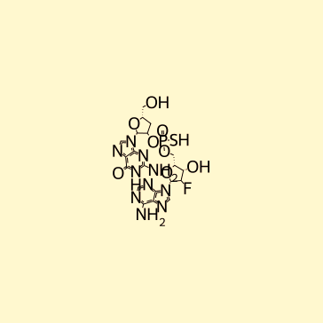 Nc1nc2c(ncn2[C@@H]2O[C@H](CO)CC2OP(=O)(S)OC[C@H]2O[C@@H](n3cnc4c(N)ncnc43)C(F)[C@H]2O)c(=O)[nH]1